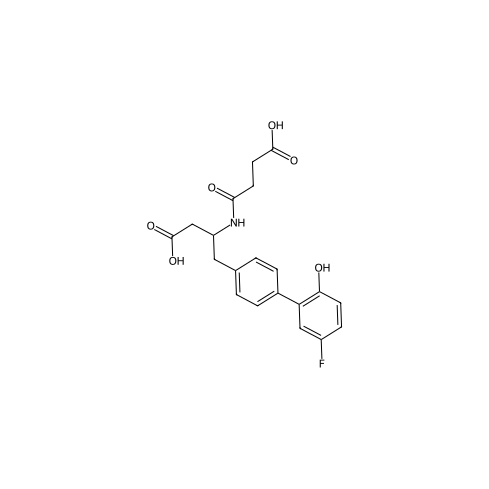 O=C(O)CCC(=O)NC(CC(=O)O)Cc1ccc(-c2cc(F)ccc2O)cc1